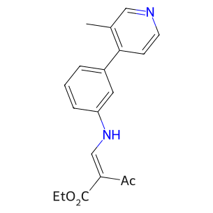 CCOC(=O)C(=CNc1cccc(-c2ccncc2C)c1)C(C)=O